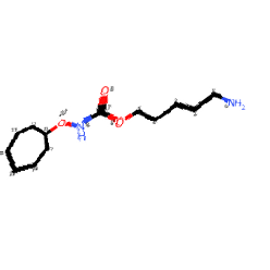 NCCCCCOC(=O)NOC1CCCCCC1